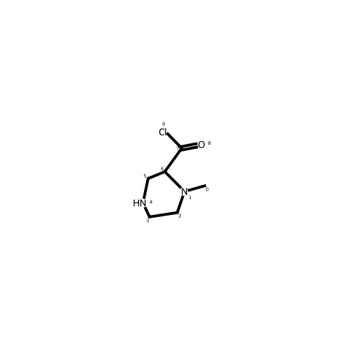 CN1CCNCC1C(=O)Cl